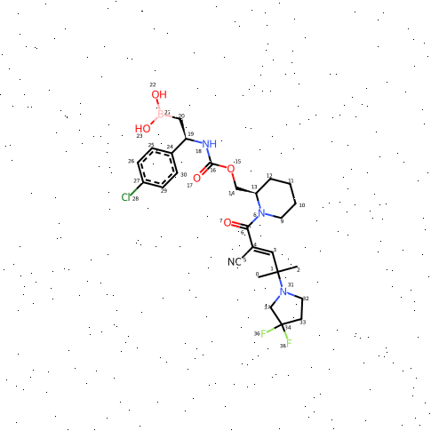 CC(C)(C=C(C#N)C(=O)N1CCCC[C@@H]1COC(=O)N[C@H](CB(O)O)c1ccc(Cl)cc1)N1CCC(F)(F)C1